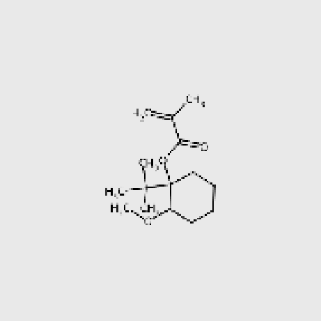 C=C(C)C(=O)OC1(C(C)(C)C)CCCCC1OC